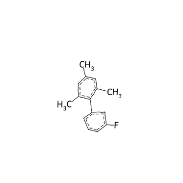 Cc1cc(C)c(-c2cccc(F)c2)c(C)c1